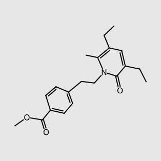 CCc1cc(CC)c(=O)n(CCc2ccc(C(=O)OC)cc2)c1C